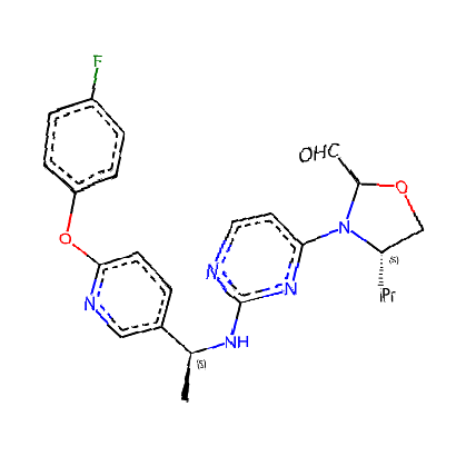 CC(C)[C@H]1COC(C=O)N1c1ccnc(N[C@@H](C)c2ccc(Oc3ccc(F)cc3)nc2)n1